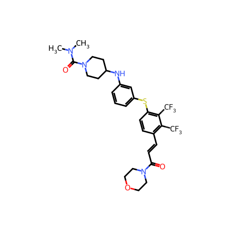 CN(C)C(=O)N1CCC(Nc2cccc(Sc3ccc(C=CC(=O)N4CCOCC4)c(C(F)(F)F)c3C(F)(F)F)c2)CC1